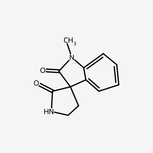 CN1C(=O)C2(CCNC2=O)c2ccccc21